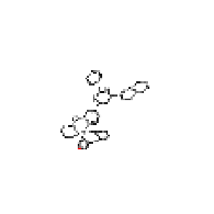 c1ccc(-c2nc(-c3ccc4c(c3)Oc3ccccc3C43c4ccccc4-c4ccccc43)cc(-c3ccc4ccccc4c3)n2)cc1